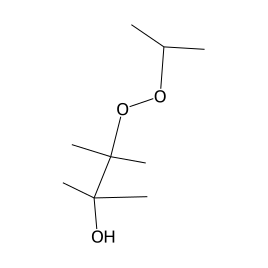 CC(C)OOC(C)(C)C(C)(C)O